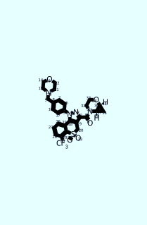 O=C(c1nn(-c2ccc(CN3CCOCC3)cc2)c2c1CS(=O)(=O)c1c-2cccc1C(F)(F)F)N1CCO[C@H]2C[C@H]21